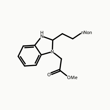 CCCCCCCCCCCC1Nc2ccccc2N1CC(=O)OC